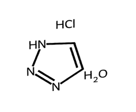 Cl.O.c1c[nH]nn1